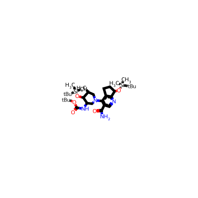 CC1CN(c2c(C(N)=O)cnc3c2CCC3O[Si](C)(C)C(C)(C)C)CC(NC(=O)OC(C)(C)C)C1O[Si](C)(C)C(C)(C)C